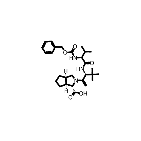 C=C([C@@H](NC(=O)[C@@H](NC(=O)OCc1ccccc1)C(C)C)C(C)(C)C)N1C[C@@H]2CCC[C@@H]2[C@H]1C(=O)O